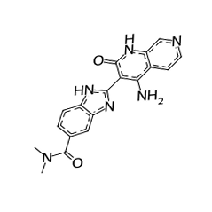 CN(C)C(=O)c1ccc2[nH]c(-c3c(N)c4ccncc4[nH]c3=O)nc2c1